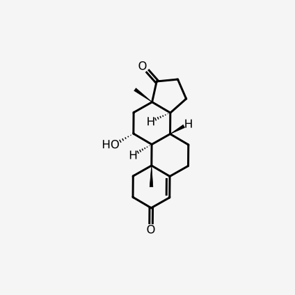 C[C@]12CCC(=O)C=C1CC[C@@H]1[C@@H]2[C@H](O)C[C@]2(C)C(=O)CC[C@@H]12